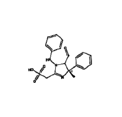 C[C@@]1(c2ccccc2)N=C(CS(=O)(=O)O)N(Nc2ccccc2)C1C=O